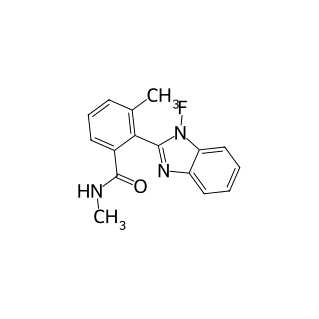 CNC(=O)c1cccc(C)c1-c1nc2ccccc2n1F